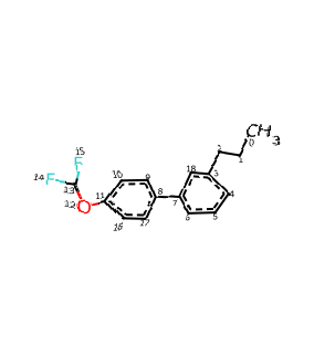 CCCc1cccc(-c2ccc(OC(F)F)cc2)c1